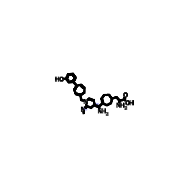 C/N=C1\C/C(=C(\N)C2=CCCC(CC(N)C(=O)O)CC2)C=CN1CC1=CC=C(c2cccc(O)c2)C=CC1